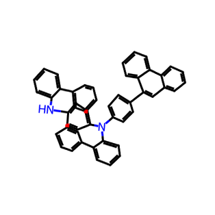 c1ccc(-c2ccccc2Nc2ccc(N(c3ccc(-c4cc5ccccc5c5ccccc45)cc3)c3ccccc3-c3ccccc3)cc2)cc1